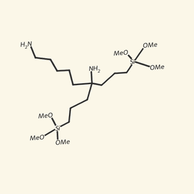 CO[Si](CCCC(N)(CCCCCN)CCC[Si](OC)(OC)OC)(OC)OC